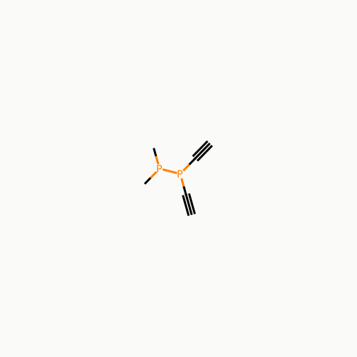 C#CP(C#C)P(C)C